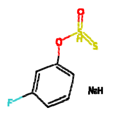 O=[SH](=S)Oc1cccc(F)c1.[NaH]